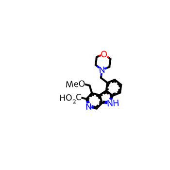 COCc1c(C(=O)O)ncc2[nH]c3cccc(CN4CCOCC4)c3c12